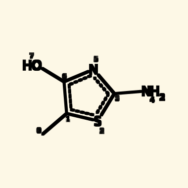 Cc1sc(N)nc1O